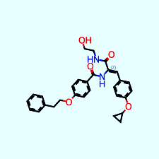 O=C(NCCO)/C(=C/c1ccc(OC2CC2)cc1)NC(=O)c1ccc(OCCc2ccccc2)cc1